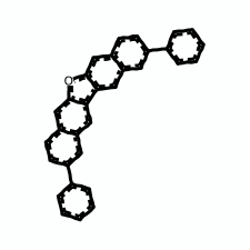 c1ccc(-c2ccc3cc4oc5cc6ccc(-c7ccccc7)cc6cc5c4cc3c2)cc1